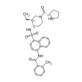 CC[C@H]1CN(C(=O)[C@@H]2CCCN2)CC[C@@H]1NS(=O)(=O)c1ccc(NC(=O)c2ccccc2C)c2ccccc12